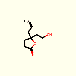 C=CCC1(CCO)CCC(=O)O1